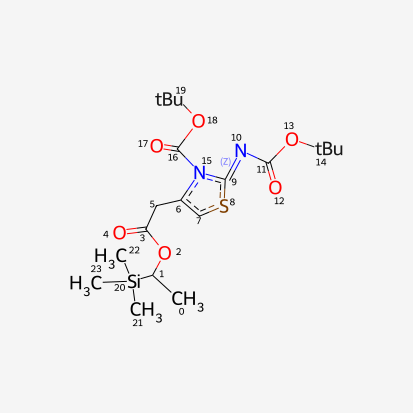 CC(OC(=O)Cc1cs/c(=N\C(=O)OC(C)(C)C)n1C(=O)OC(C)(C)C)[Si](C)(C)C